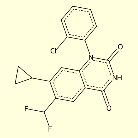 O=c1[nH]c(=O)n(-c2ccccc2Cl)c2cc(C3CC3)c(C(F)F)cc12